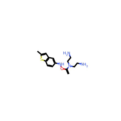 C=C(ONc1ccc2sc(C)cc2c1)N(CCN)CCN